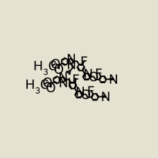 COC(=O)c1ccc2nc(Cc3ccc(-c4cccc(OCc5ccc(C#N)cc5F)n4)cc3F)[nH]c2c1.COC(=O)c1ccc2nc(Cc3ccc(-c4cccc(OCc5ccc(C#N)cc5F)n4)cc3F)n(CC3CC3)c2c1